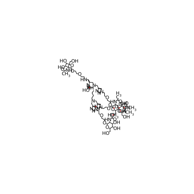 CC(=O)NC(O)C(OCCOCCn1cc(CN(CCCC[C@H](C(=O)O)N(C/C(=C/NCCOCCOC2OC3(CO)C(O)C(O)C23NC(C)=O)N=N)Cc2cn(CCOCCOC3OC(CO)C(O)C(O)C3NC(C)=O)nn2)Cc2cn(CCOCCOC3OC(CO)C(O)C(O)C3NC(C)=O)nn2)nn1)OC(CO)C(C)O